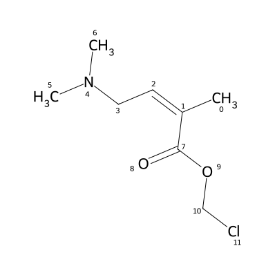 CC(=CCN(C)C)C(=O)OCCl